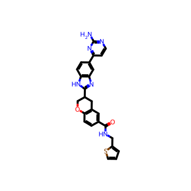 Nc1nccc(-c2ccc3[nH]c(C4COc5ccc(C(=O)NCc6cccs6)cc5C4)nc3c2)n1